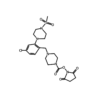 CS(=O)(=O)N1CCN(c2cc(Cl)ccc2CN2CCN(C(=O)ON3C(=O)CCC3=O)CC2)CC1